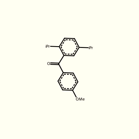 COc1ccc(C(=O)c2cc(C(C)C)ccc2C(C)C)cc1